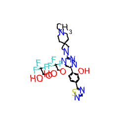 CN1CCC2(CC1)CN(c1ncc(-c3ccc(-c4ncns4)cc3O)nn1)C2.O=C(O)C(F)(F)F.O=C(O)C(F)(F)F